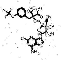 C#C[C@@]1(O)[C@@H](COC(Cc2cccc(OC(F)(F)F)c2)(C(=O)O)C(=O)O)O[C@@H](n2cnc3c(N)nc(Cl)nc32)[C@@H]1O